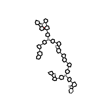 C1=Cc2sc3c(-c4ccc(N(c5ccc(-c6cccc(-c7ccc8cc(-c9ccc%10sc%11c(-c%12ccc(N(c%13ccc(-c%14ccc(-c%15ccccc%15-n%15c%16ccccc%16c%16ccccc%16%15)cc%14)cc%13)c%13ccc(-c%14cccc(-c%15ccc%16ccccc%16c%15)c%14)cc%13)cc%12)cccc%11c%10c9)ccc8c7)c6)cc5)c5ccc(-c6cccc7c6sc6ccccc67)cc5)cc4)cccc3c2CC1